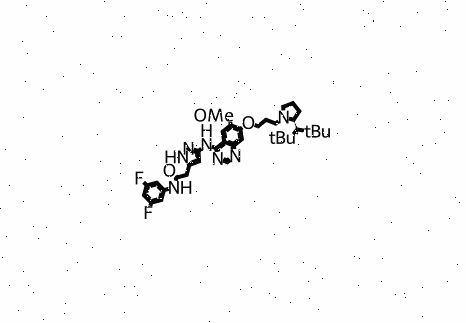 COc1cc2c(Nc3cc(CC(=O)Nc4cc(F)cc(F)c4)[nH]n3)ncnc2cc1OCCCN1CCC[C@@H]1[C](C(C)(C)C)C(C)(C)C